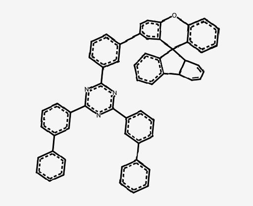 C1=CC2c3ccccc3C3(c4ccccc4Oc4ccc(-c5cccc(-c6nc(-c7cccc(-c8ccccc8)c7)nc(-c7cccc(-c8ccccc8)c7)n6)c5)cc43)C2C=C1